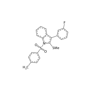 CSc1c(-c2cccc(F)c2)c2ccccc2n1S(=O)(=O)c1ccc(C)cc1